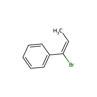 C/C=C(/Br)c1ccccc1